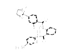 Bc1ccc(NC(=O)c2ccccc2NC(=O)c2ccc(C3=NCCN3C)cc2F)nc1